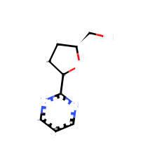 OC[C@@H]1CCC(c2ncccn2)O1